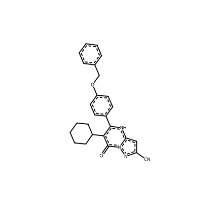 N#Cc1cc2[nH]c(-c3ccc(OCc4ccccc4)cc3)c(C3CCCCC3)c(=O)n2n1